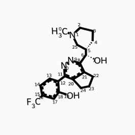 CN1CCC[C@H]([C@H](O)c2nnc(-c3ccc(C(F)(F)F)cc3O)c3c2CCC3)C1